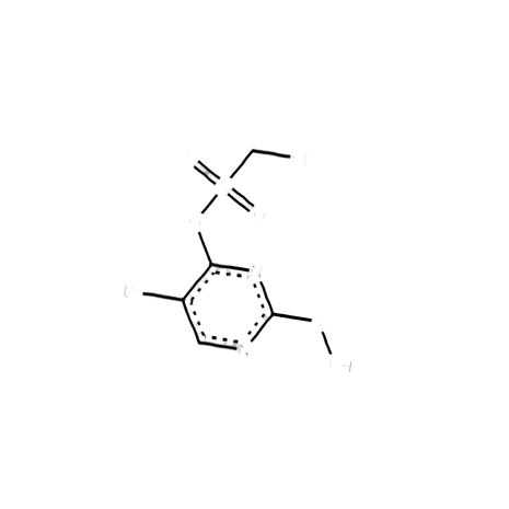 CCS(=O)(=O)Oc1nc(SC)ncc1Br